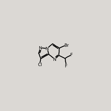 FC(F)c1nc2c(Cl)cnn2cc1Br